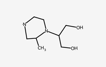 CC1C[N]CCN1C(CO)CO